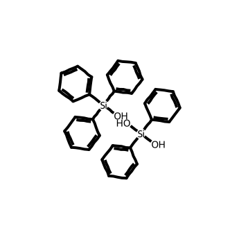 O[Si](O)(c1ccccc1)c1ccccc1.O[Si](c1ccccc1)(c1ccccc1)c1ccccc1